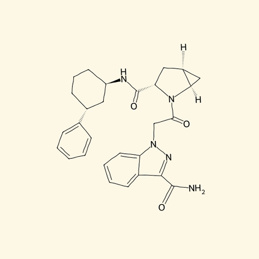 NC(=O)c1nn(CC(=O)N2[C@@H]3C[C@@H]3C[C@H]2C(=O)N[C@@H]2CCC[C@@H](c3ccccc3)C2)c2ccccc12